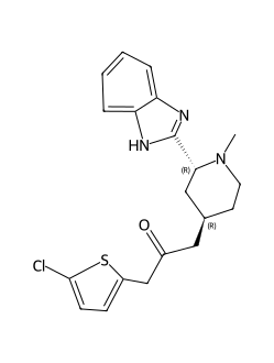 CN1CC[C@@H](CC(=O)Cc2ccc(Cl)s2)C[C@@H]1c1nc2ccccc2[nH]1